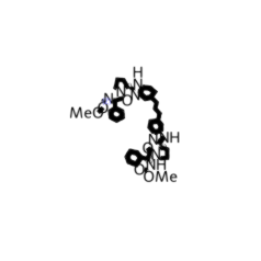 COO/C=N\C(C(=O)N1CCC[C@H]1c1nc2cc(CCCc3ccc4nc([C@@H]5CCCN5C(=O)[C@H](NC(=O)OC)c5ccccc5)[nH]c4c3)ccc2[nH]1)c1ccccc1